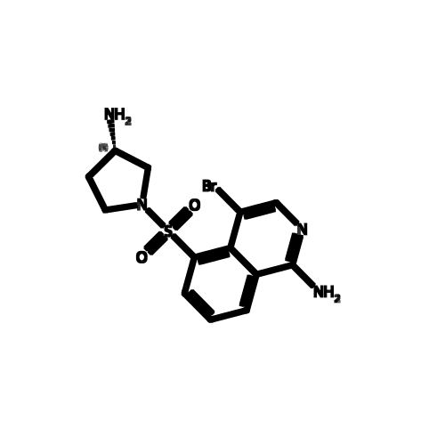 Nc1ncc(Br)c2c(S(=O)(=O)N3CC[C@H](N)C3)cccc12